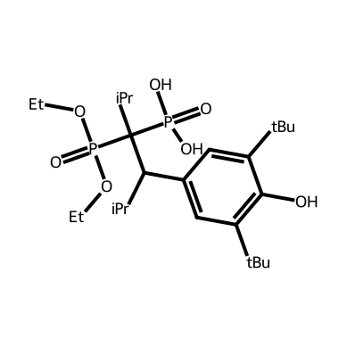 CCOP(=O)(OCC)C(C(C)C)(C(c1cc(C(C)(C)C)c(O)c(C(C)(C)C)c1)C(C)C)P(=O)(O)O